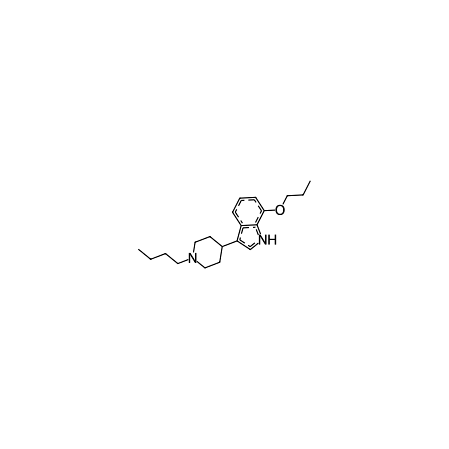 CCCCN1CCC(c2c[nH]c3c(OCCC)cccc23)CC1